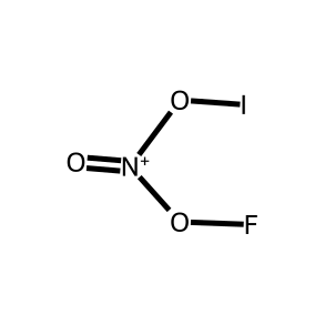 O=[N+](OF)OI